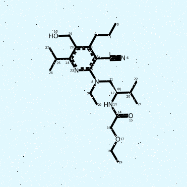 CCCc1c(C#N)c(N(CC)C[C@H](NC(=O)COCC)C(C)C)nc(C(C)C)c1CO